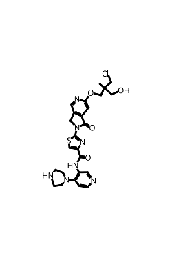 CC(CO)(CCl)COc1cc2c(cn1)CN(c1nc(C(=O)Nc3cnccc3N3CCNCC3)cs1)C2=O